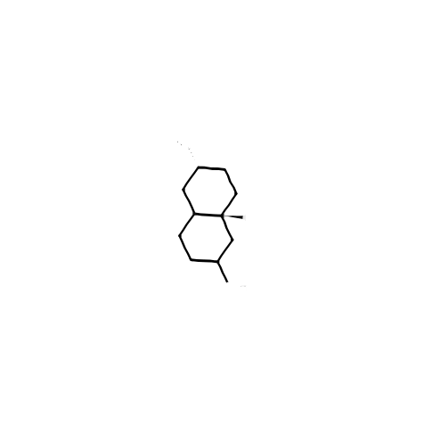 CCCCCCCC1CCC2C[C@H](C#N)CC[C@@H]2C1